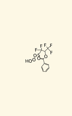 O=C(OC(C(F)(F)F)C(F)(F)SOOO)c1ccccc1